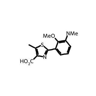 CNc1cccc(-c2nc(C(=O)O)c(C)s2)c1OC